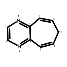 C1=Cc2nccnc2C=CC1